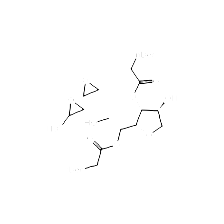 C1CO1.CC1CO1.CCCCCCCCCCCC(=O)O[C@H]1[C@@H]([C@@H](CO)OC(=O)CCCCCCCCCCC)OC[C@@H]1O